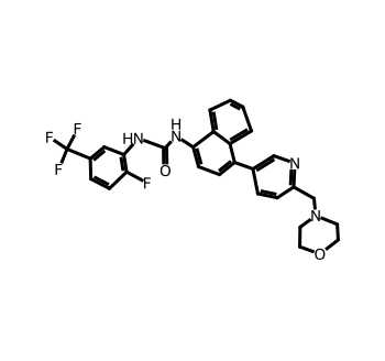 O=C(Nc1cc(C(F)(F)F)ccc1F)Nc1ccc(-c2ccc(CN3CCOCC3)nc2)c2ccccc12